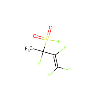 O=S(=O)(F)C(F)(C(F)=C(F)F)C(F)(F)F